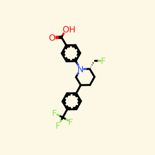 O=C(O)c1ccc(N2CC(c3ccc(C(F)(F)F)cc3)CC[C@H]2CF)cc1